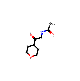 COC(=O)NCC(=O)C1CCOCC1